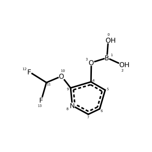 OB(O)Oc1cccnc1OC(F)F